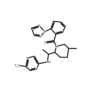 CC1CCC(C(C)Nc2cnc(C(F)(F)F)cn2)N(C(=O)c2ccccc2-n2nccn2)C1